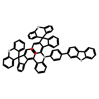 c1ccc2c(c1)Oc1ccccc1C21c2ccccc2-c2c(-c3ccccc3N(c3ccc(-c4ccc5c(c4)sc4ccccc45)cc3)c3cccc4c3-c3ccccc3C43c4ccccc4Oc4ccccc43)cccc21